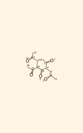 CC(=O)CC(C(C)=O)C(=O)C(CC(C)=O)C(C)=O